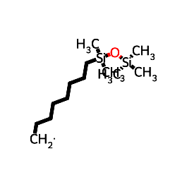 [CH2]CCCCCCC[Si](C)(C)O[Si](C)(C)C